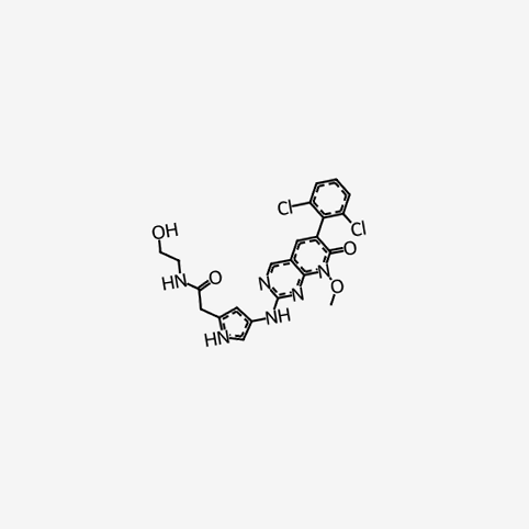 COn1c(=O)c(-c2c(Cl)cccc2Cl)cc2cnc(Nc3c[nH]c(CC(=O)NCCO)c3)nc21